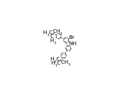 CC(C)(C)c1ccc(-c2ccc3[nH]c4c(Br)cc(-c5ccc(C(C)(C)C)cc5)cc4c3c2)cc1